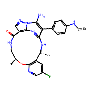 CCOC(=O)Nc1ccc(-c2c3nc4c(cnn4c2N)C(=O)NC[C@H](C)Oc2ncc(F)cc2[C@@H](C)N3)cc1